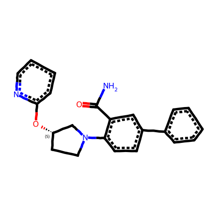 NC(=O)c1cc(-c2ccccc2)ccc1N1CC[C@H](Oc2ccccn2)C1